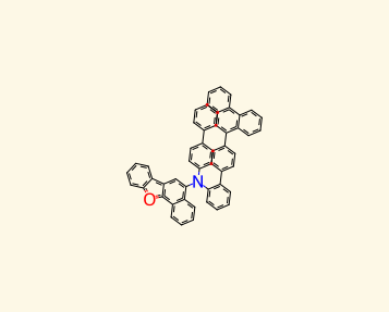 c1ccc(-c2ccc(N(c3ccccc3-c3ccc(-c4cc5ccccc5c5ccccc45)cc3)c3cc4c5ccccc5oc4c4ccccc34)cc2)cc1